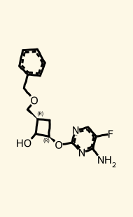 Nc1nc(O[C@@H]2C[C@H](COCc3ccccc3)C2O)ncc1F